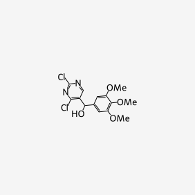 COc1cc(C(O)c2cnc(Cl)nc2Cl)cc(OC)c1OC